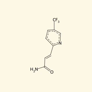 NC(=O)C=Cc1ccc(C(F)(F)F)cn1